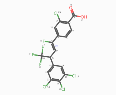 O=C(O)c1ccc(/C(F)=C/C(c2cc(Cl)c(Cl)c(Cl)c2)C(F)(F)F)cc1Cl